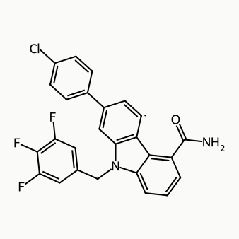 NC(=O)c1cccc2c1c1[c]cc(-c3ccc(Cl)cc3)cc1n2Cc1cc(F)c(F)c(F)c1